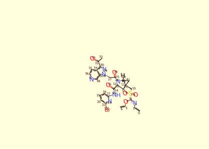 C=C/N=C(\OC=C)S(=O)(=O)C[C@@]12C[C@@H](C(=O)Nc3cccc(Br)n3)N(C(=O)Cn3nc(C(C)=O)c4ccncc43)[C@@H]1C2